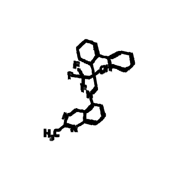 Cc1ncc2c(N=CC(O)(C3CCCC=C3c3ccccc3)C(F)(F)F)cccc2n1